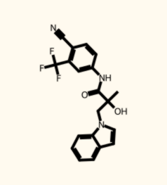 CC(O)(Cn1ccc2ccccc21)C(=O)Nc1ccc(C#N)c(C(F)(F)F)c1